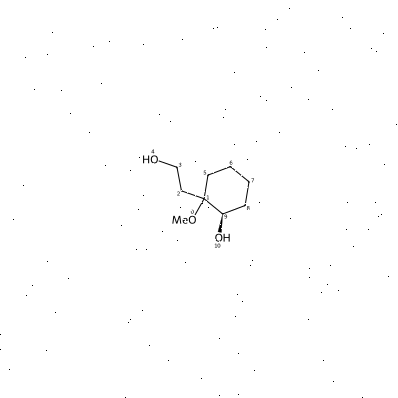 COC1(CCO)CCCC[C@H]1O